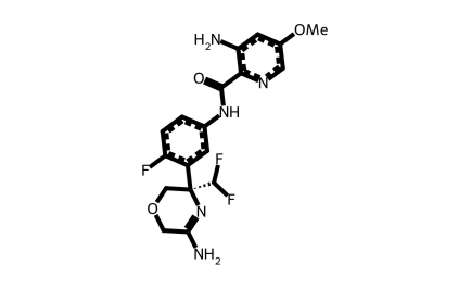 COc1cnc(C(=O)Nc2ccc(F)c([C@]3(C(F)F)COCC(N)=N3)c2)c(N)c1